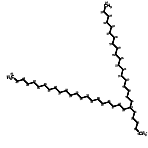 [CH2]CCCCC(CCCCCCCCCCCCCCCCCCC)CCCCCCCCCCCCCCCCCCCCCC